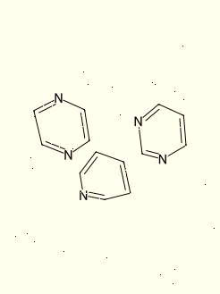 c1ccncc1.c1cnccn1.c1cncnc1